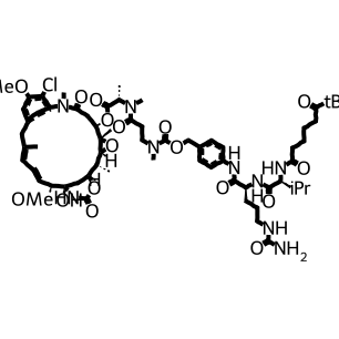 COc1cc2cc(c1Cl)N(C)C(=O)C[C@H](OC(=O)[C@H](C)N(C)C(=O)CCN(C)C(=O)OCc1ccc(NC(=O)[C@H](CCCNC(N)=O)NC(=O)[C@@H](NC(=O)CCCCC(=O)C(C)(C)C)C(C)C)cc1)[C@]1(C)O[C@H]1[C@H](C)[C@@H]1C[C@@](O)(NC(=O)O1)[C@H](OC)/C=C/C=C(\C)C2